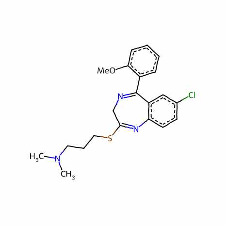 COc1ccccc1C1=NCC(SCCCN(C)C)=Nc2ccc(Cl)cc21